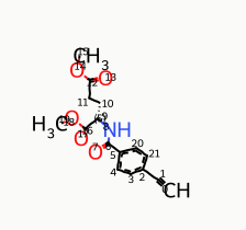 C#Cc1ccc(C(=O)N[C@@H](CCC(=O)OC)C(=O)OC)cc1